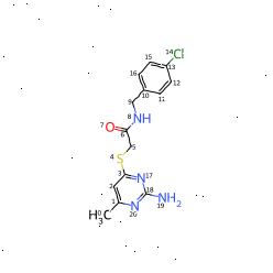 Cc1cc(SCC(=O)NCc2ccc(Cl)cc2)nc(N)n1